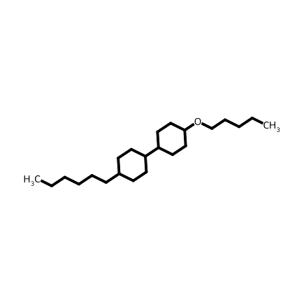 CCCCCCC1CCC(C2CCC(OCCCCC)CC2)CC1